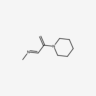 C=C(/C=N/C)N1CCCCC1